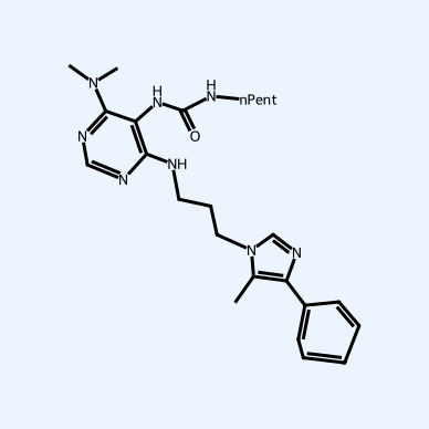 CCCCCNC(=O)Nc1c(NCCCn2cnc(-c3ccccc3)c2C)ncnc1N(C)C